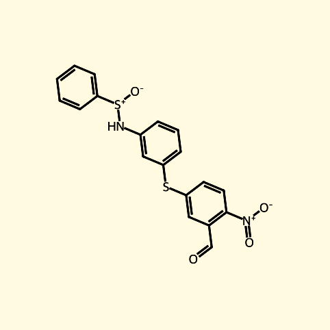 O=Cc1cc(Sc2cccc(N[S+]([O-])c3ccccc3)c2)ccc1[N+](=O)[O-]